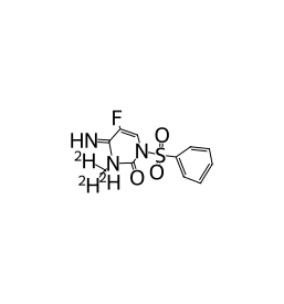 [2H]C([2H])([2H])n1c(=N)c(F)cn(S(=O)(=O)c2ccccc2)c1=O